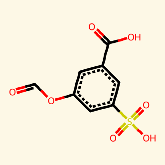 O=COc1cc(C(=O)O)cc(S(=O)(=O)O)c1